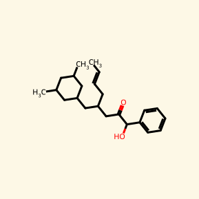 CC=CCC(CC(=O)C(O)c1ccccc1)CC1CC(C)CC(C)C1